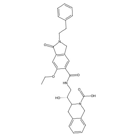 CCOc1cc2c(cc1C(=O)NC[C@@H](O)C1Cc3ccccc3CN1C(=O)O)CN(CCc1ccccc1)C2=O